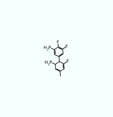 CC1=CC(P)C(c2cc(F)c(F)c(P)c2)C(F)=C1